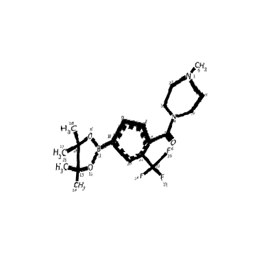 CN1CCN(C(=O)c2ccc(B3OC(C)(C)C(C)(C)O3)cc2C(F)(F)F)CC1